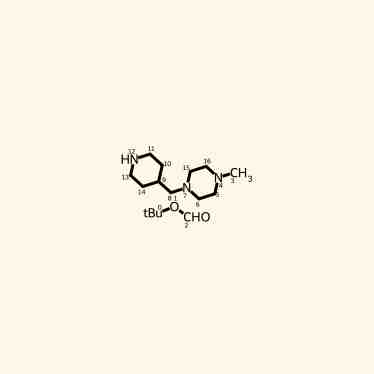 CC(C)(C)OC=O.CN1CCN(CC2CCNCC2)CC1